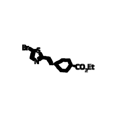 CCOC(=O)[C@H]1CC[C@H](C=Cc2ncc(Br)s2)CC1